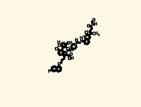 Cc1nc2c(NCC(=O)N3CCN(CCn4c(C(=O)O)c(CCCOc5cccc6cc(F)ccc56)c5ccc(Cl)c(-c6c(C)nn(C)c6C)c54)CC3)cccc2cc1C(C)CCC(=O)NC=O